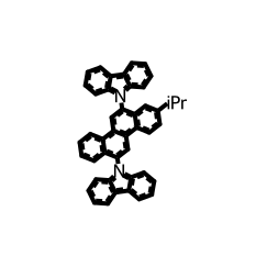 CC(C)c1ccc2c(c1)c(-n1c3ccccc3c3ccccc31)cc1c3ccccc3c(-n3c4ccccc4c4ccccc43)cc21